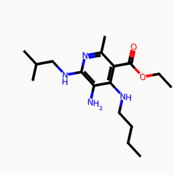 CCCCNc1c(N)c(NCC(C)C)nc(C)c1C(=O)OCC